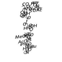 CC[C@H](C)CC(=O)N(C)[C@H](C[C@@H](OC(C)=O)c1nc(C(=O)N[C@@H](Cc2ccc(O)c(NC(=O)CCC(=O)C#CC(=O)CCC(=O)Nc3cc(C[C@@H](CC(C)C(=O)OC)NC(=O)c4csc([C@@H](C[C@H](C(C)C)N(C)C(=O)[C@H](NC(=O)[C@@H]5CCCCN5C)[C@@H](C)CC)OC(C)=O)n4)ccc3O)c2)CC(C)C(=O)O)cs1)C(C)C